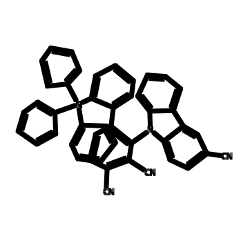 N#Cc1ccc2c(c1)c1ccccc1n2-c1c(-c2ccccc2[Si](c2ccccc2)(c2ccccc2)c2ccccc2)ccc(C#N)c1C#N